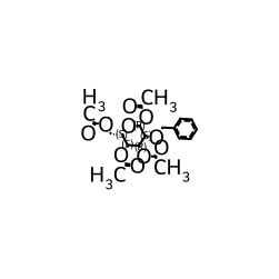 CC(=O)OC[C@@H]1O[C@H](OC(C)=O)[C@@H](OCc2ccccc2)[C@H](OC(C)=O)[C@H]1OC(C)=O